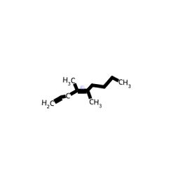 C=CC/C(C)=C(\C)CCCC